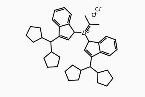 C[C](C)=[Zr+2]([CH]1C=C(C(C2CCCC2)C2CCCC2)c2ccccc21)[CH]1C=C(C(C2CCCC2)C2CCCC2)c2ccccc21.[Cl-].[Cl-]